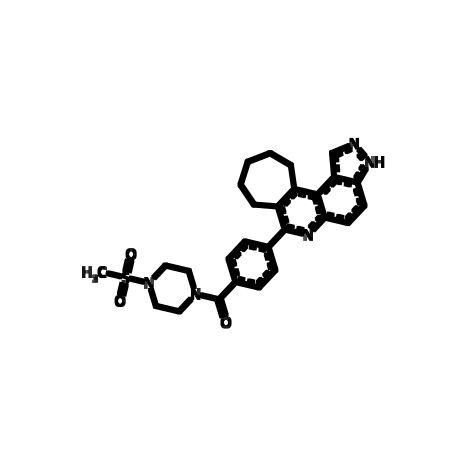 CS(=O)(=O)N1CCN(C(=O)c2ccc(-c3nc4ccc5[nH]ncc5c4c4c3CCCCC4)cc2)CC1